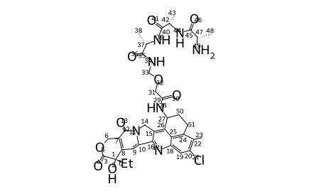 CC[C@@]1(O)C(=O)OCc2c1cc1n(c2=O)Cc2c-1nc1cc(Cl)c(C)c3c1c2C(NC(=O)COCNC(=O)[C@H](C)NC(=O)[C@H](C)NC(=O)[C@H](C)N)CC3